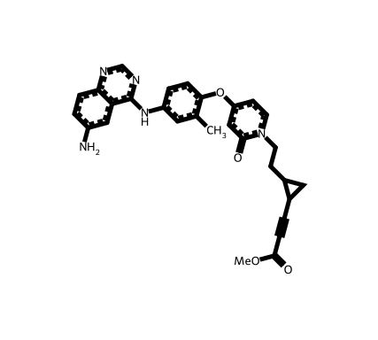 COC(=O)C#CC1CC1CCn1ccc(Oc2ccc(Nc3ncnc4ccc(N)cc34)cc2C)cc1=O